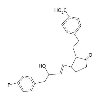 O=C(O)c1ccc(CCC2C(=O)CCC2C=CC(O)Cc2ccc(F)cc2)cc1